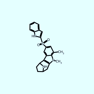 Cc1cc(S(=O)(=O)c2cc3ccccc3[nH]2)cc2c3c(n(C)c12)CC1CCC3N1